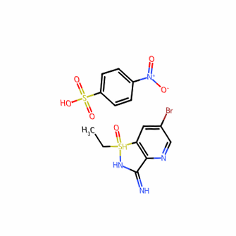 CC[SH]1(=O)NC(=N)c2ncc(Br)cc21.O=[N+]([O-])c1ccc(S(=O)(=O)O)cc1